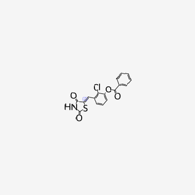 O=C1NC(=O)/C(=C/c2cccc(OC(=O)c3ccccc3)c2Cl)S1